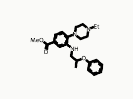 CCN1CCN(c2ccc(C(=O)OC)cc2NCC(C)Oc2ccccc2)CC1